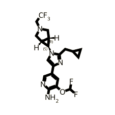 Nc1ncc(-c2cn([C@H]3[C@@H]4CN(CC(F)(F)F)C[C@@H]43)c(CC3CC3)n2)cc1OC(F)F